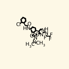 CN(C)C=NS(=O)(=O)c1cc(NC(=O)Cc2ccccc2Cl)ccc1-c1cnc(NC(F)C(F)F)nc1